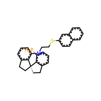 Pc1cccc2c1[C@@]1(CC2)CCc2cccc(NCCSc3ccc4ccccc4c3)c21